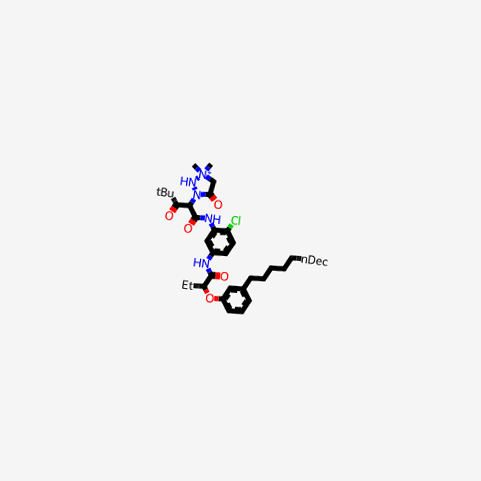 CCCCCCCCCCCCCCCc1cccc(OC(CC)C(=O)Nc2ccc(Cl)c(NC(=O)C(C(=O)C(C)(C)C)N3N[N+](C)(C)CC3=O)c2)c1